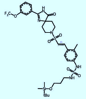 Cc1cc(NS(=O)(=O)NCCCO[Si](C)(C)C(C)(C)C)ccc1/C=C/S(=O)(=O)N1CCC2(CC1)N=C(c1cccc(OC(F)(F)F)c1)NC2=O